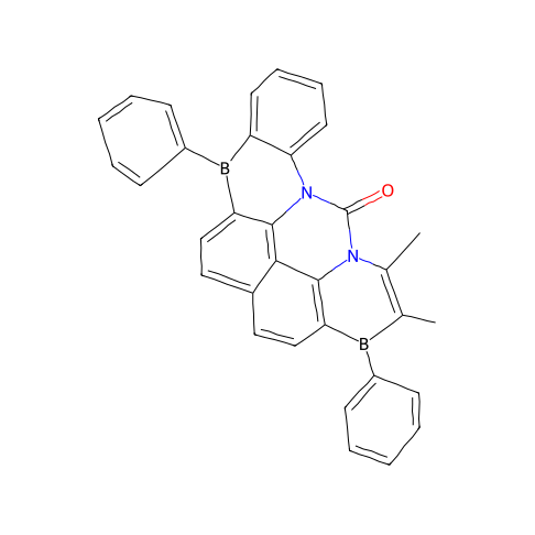 CC1=C(C)N2C(=O)N3c4ccccc4B(c4ccccc4)c4ccc5ccc(c2c5c43)B1c1ccccc1